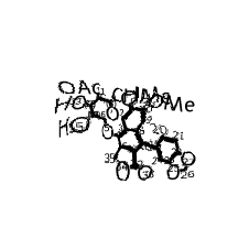 COc1cc2c(OC3O[C@H](C)[C@@H](OC(C)=O)[C@H](O)[C@H]3O)c3c(c(-c4ccc5c(c4)OCO5)c2cc1OC)C(=O)OC3